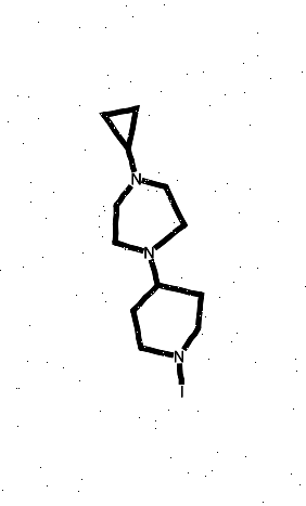 IN1CCC(N2CCN(C3CC3)CC2)CC1